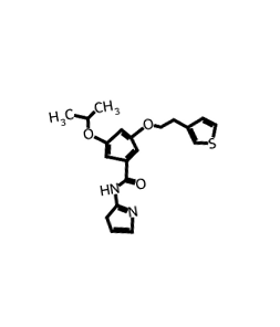 CC(C)Oc1cc(OCCc2ccsc2)cc(C(=O)NC2=NC=CC2)c1